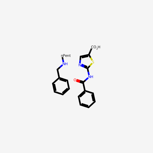 CCCCCNCc1ccccc1.O=C(Nc1ncc(C(=O)O)s1)c1ccccc1